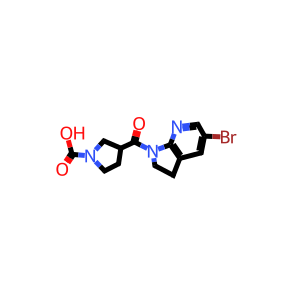 O=C(O)N1CCC(C(=O)N2CCc3cc(Br)cnc32)C1